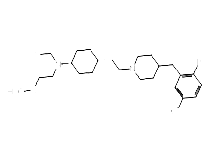 CCN(CCOC)[C@H]1CC[C@H](CCN2CCC(Cc3cc(Cl)ccc3Br)CC2)CC1